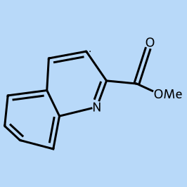 COC(=O)c1[c]cc2ccccc2n1